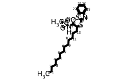 CCCCCCCCCCCCCCC(Sc1nc2ccccc2s1)C(=O)NS(C)(=O)=O